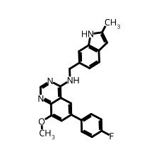 COc1cc(-c2ccc(F)cc2)cc2c(NCc3ccc4cc(C)[nH]c4c3)ncnc12